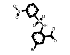 O=C(Cl)c1cc(Br)ccc1NS(=O)(=O)c1cccc([N+](=O)[O-])c1